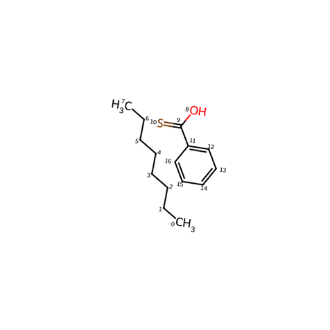 CCCCCCCC.OC(=S)c1ccccc1